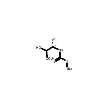 CC(C)[C@H](NC(=O)OC(C)(C)C)C(O)C(=O)O